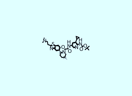 C[C@@H]1CC[C@@H](c2ccc3sc(CCN(C)C)nc3c2)N(C(=O)C(=O)Nc2cnc(NC(=O)OC(C)(C)C)c(C3CC3)c2)C1